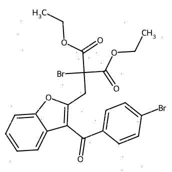 CCOC(=O)C(Br)(Cc1oc2ccccc2c1C(=O)c1ccc(Br)cc1)C(=O)OCC